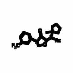 CC(=O)N(C1OCN(c2cccc(C(F)(F)F)c2)C1=O)C1(C)CCCC1